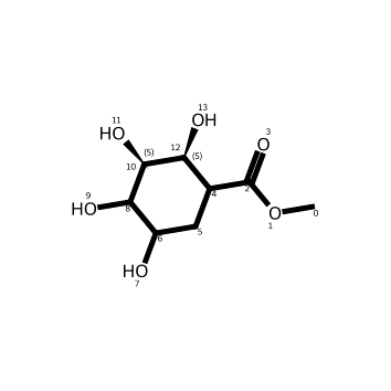 COC(=O)C1CC(O)C(O)[C@@H](O)[C@H]1O